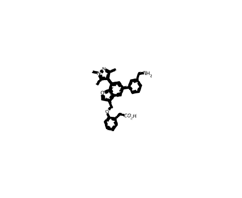 Cc1nn(C)c(C)c1-c1cc(-c2cccc(CN)c2)cc2c(COc3ccccc3CC(=O)O)coc12